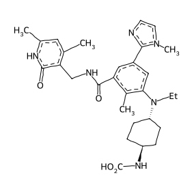 CCN(c1cc(-c2nccn2C)cc(C(=O)NCc2c(C)cc(C)[nH]c2=O)c1C)[C@H]1CC[C@H](NC(=O)O)CC1